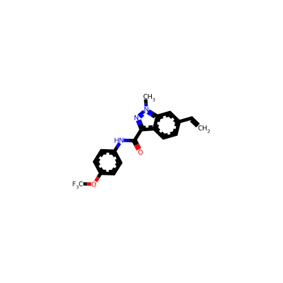 C=Cc1ccc2c(C(=O)Nc3ccc(OC(F)(F)F)cc3)nn(C)c2c1